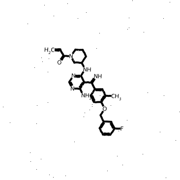 C=CC(=O)N1CCCC(Nc2ncnc(N)c2C(=N)c2ccc(OCc3cccc(F)c3)c(C)c2)C1